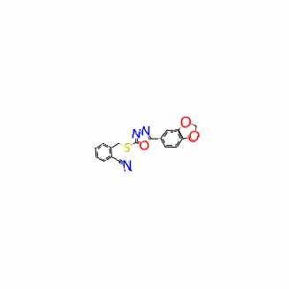 N#Cc1ccccc1CSc1nnc(-c2ccc3c(c2)OCO3)o1